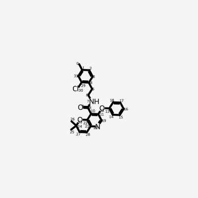 Cc1ccc(CCNC(=O)c2c(Oc3ccccc3)cnc3c2OC(C)(C)C=C3)c(Cl)c1